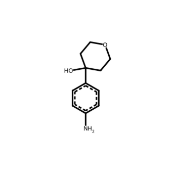 Nc1ccc(C2(O)CCOCC2)cc1